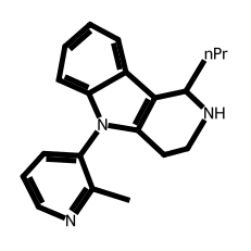 CCCC1NCCc2c1c1ccccc1n2-c1cccnc1C